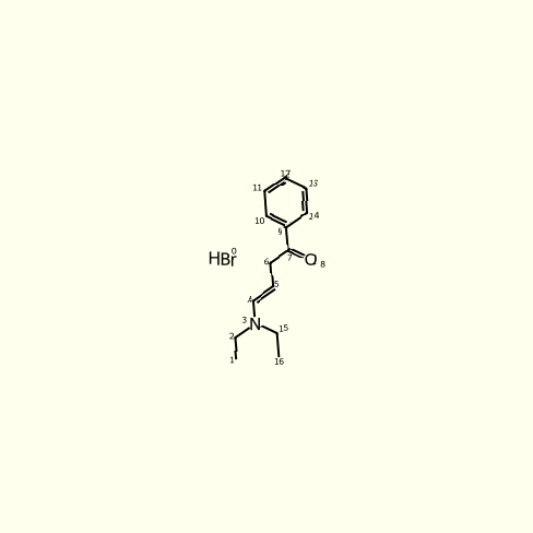 Br.CCN(C=CCC(=O)c1ccccc1)CC